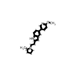 COc1ccc(-c2ccc3[nH]c(CCN4CCC[C@H]4C)cc3c2)cn1